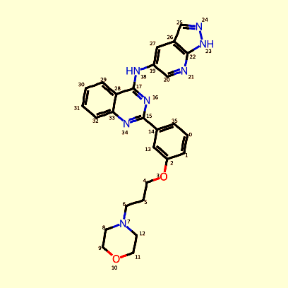 c1cc(OCCCN2CCOCC2)cc(-c2nc(Nc3cnc4[nH]ncc4c3)c3ccccc3n2)c1